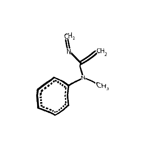 C=NC(=C)N(C)c1ccccc1